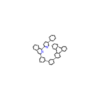 c1ccc(-c2ccc(-c3nc(-c4cccc(-c5cccc(-c6ccc7c8ccccc8c8ccccc8c7c6)c5)c4)cc4ccccc34)nc2)cc1